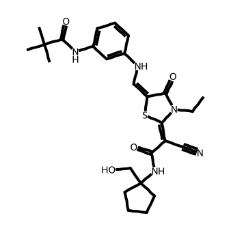 CCn1c(=O)c(=CNc2cccc(NC(=O)C(C)(C)C)c2)s/c1=C(/C#N)C(=O)NC1(CO)CCCC1